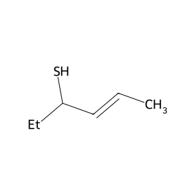 CC=CC(S)CC